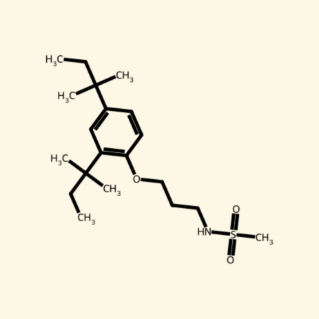 CCC(C)(C)c1ccc(OCCCNS(C)(=O)=O)c(C(C)(C)CC)c1